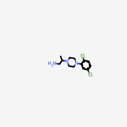 CC(CN)N1CCN(c2cc(Cl)ccc2Cl)CC1